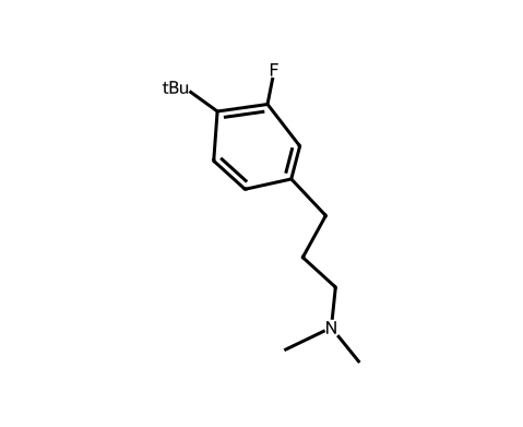 CN(C)CCCc1ccc(C(C)(C)C)c(F)c1